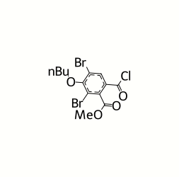 CCCCOc1c(Br)cc(C(=O)Cl)c(C(=O)OC)c1Br